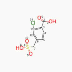 O=C(O)c1ccc(CS(=O)(=O)O)cc1Cl